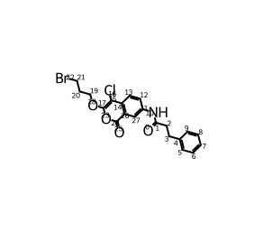 O=C(CCc1ccccc1)Nc1ccc2c(Cl)c(OCCCBr)oc(=O)c2c1